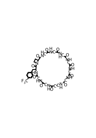 O=C1CCNC(=O)CNC(=O)CNC(=O)CNC(=O)CNC(=O)CNC(=O)CNC(=O)C2CCN2C(=O)C(Cc2ccc(C(F)(F)F)cc2)NC(=O)CNC(=O)CN1